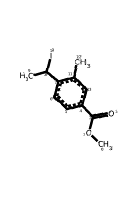 COC(=O)c1ccc(C(C)I)c(C)c1